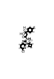 CC(O)(CC(=O)Nc1nc2ccc(Cl)nc2n1C1(C)CCC1)c1ccc(F)cc1